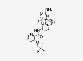 C[C@]1(F)COC(N)=N[C@]1(C)c1cc(NC(=O)c2ncccc2OCC(F)(F)F)ccc1F